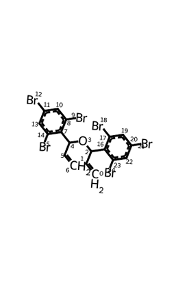 C=CC(OC(C=C)c1c(Br)cc(Br)cc1Br)c1c(Br)cc(Br)cc1Br